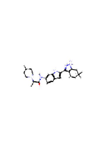 CC1CCN(C(C)C(=O)N(C)c2ccc3cc(-c4n[nH]c5c4CCC(C)(C)C5)[nH]c3c2)CC1